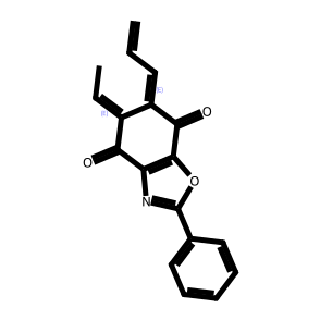 C=C/C=C1/C(=O)c2oc(-c3ccccc3)nc2C(=O)/C1=C/C